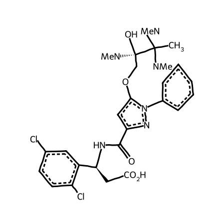 CNC(C)(NC)[C@](O)(COc1cc(C(=O)N[C@@H](CC(=O)O)c2cc(Cl)ccc2Cl)nn1-c1ccccc1)NC